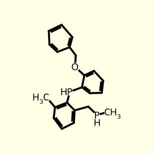 CPCc1cccc(C)c1Pc1ccccc1OCc1ccccc1